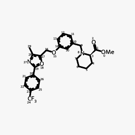 COC(=O)[C@H]1CCCCN1Cc1cccc(OCc2oc(-c3ccc(C(F)(F)F)cc3)nc2C)c1